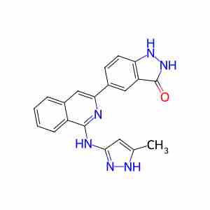 Cc1cc(Nc2nc(-c3ccc4[nH][nH]c(=O)c4c3)cc3ccccc23)n[nH]1